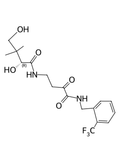 CC(C)(CO)[C@@H](O)C(=O)NCCC(=O)C(=O)NCc1ccccc1C(F)(F)F